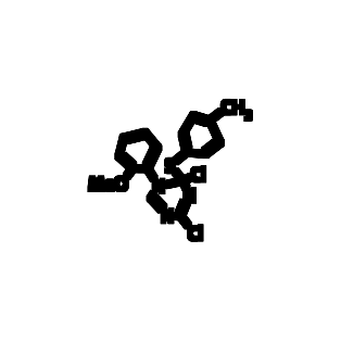 COc1ccccc1N1C=NC(Cl)=NC1(Cl)Sc1ccc(C)cc1